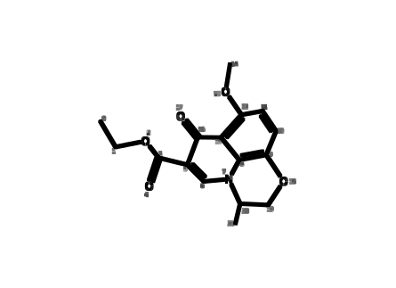 CCOC(=O)c1cn2c3c(ccc(OC)c3c1=O)OCC2C